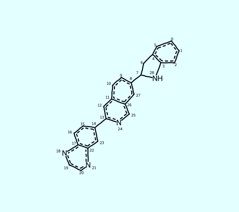 c1ccc2c(c1)CC(c1ccc3cc(-c4ccc5nccnc5c4)ncc3c1)N2